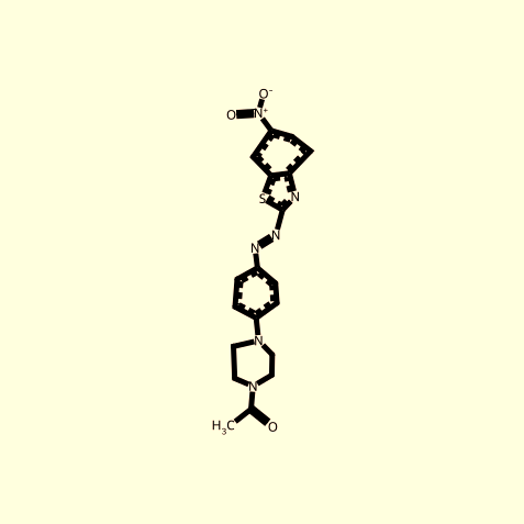 CC(=O)N1CCN(c2ccc(N=Nc3nc4ccc([N+](=O)[O-])cc4s3)cc2)CC1